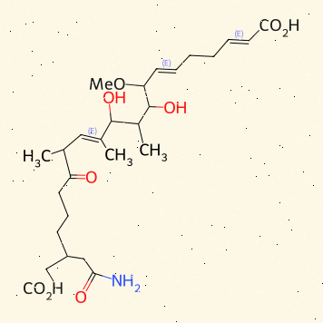 COC(/C=C/CC/C=C/C(=O)O)C(O)C(C)C(O)/C(C)=C/C(C)C(=O)CCCC(CC(N)=O)CC(=O)O